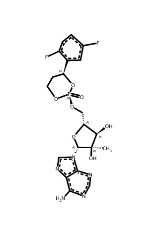 C[C@@]1(O)[C@H](O)[C@@H](CO[P@@]2(=O)OCC[C@@H](c3cc(F)ccc3F)O2)O[C@H]1n1cnc2c(N)ncnc21